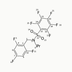 CC(C)N(Cc1c(F)cc(F)cc1F)S(=O)(=O)c1c(F)c(F)c(F)c(F)c1F